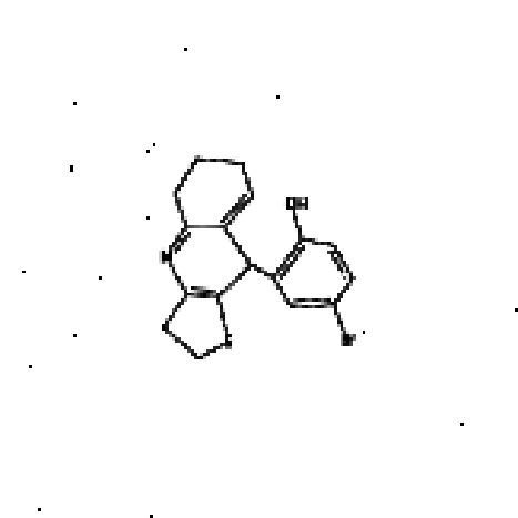 Oc1ccc(Br)cc1C1C2=CCCCC2=NC2=C1SCC2